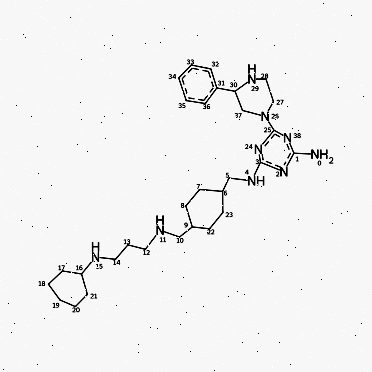 Nc1nc(NCC2CCC(CNCCCNC3CCCCC3)CC2)nc(N2CCNC(c3ccccc3)C2)n1